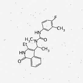 CCc1[nH]c(=O)c2ccccc2c1C(C)N(C)C(=O)Nc1ccc(F)c(C)c1